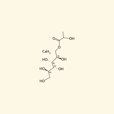 CC(O)C(=O)OC[C@@H](O)[C@@H](O)[C@H](O)[C@H](O)CO.[CaH2]